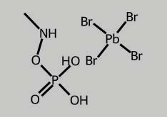 CNOP(=O)(O)O.[Br][Pb]([Br])([Br])[Br]